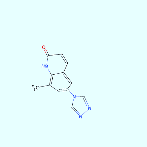 O=c1ccc2cc(-n3cnnc3)cc(C(F)(F)F)c2[nH]1